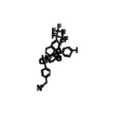 N#CCc1ccc(C(=O)N2CC[C@@]3(S(=O)(=O)c4ccc(I)cc4)c4ccc(C(F)(C(F)(F)F)C(F)(F)F)cc4CC[C@@H]23)cc1